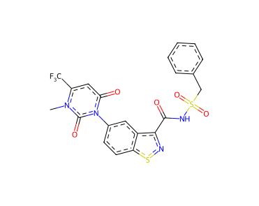 Cn1c(C(F)(F)F)cc(=O)n(-c2ccc3snc(C(=O)NS(=O)(=O)Cc4ccccc4)c3c2)c1=O